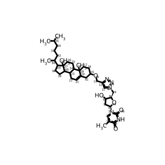 Cc1cn([C@H]2CC(O)[C@@H](Cn3cc(COC4CCC5(C)C(=CCC6C5CCC5(C)C(C(C)CCCC(C)C)CCC65)C4)nn3)O2)c(=O)[nH]c1=O